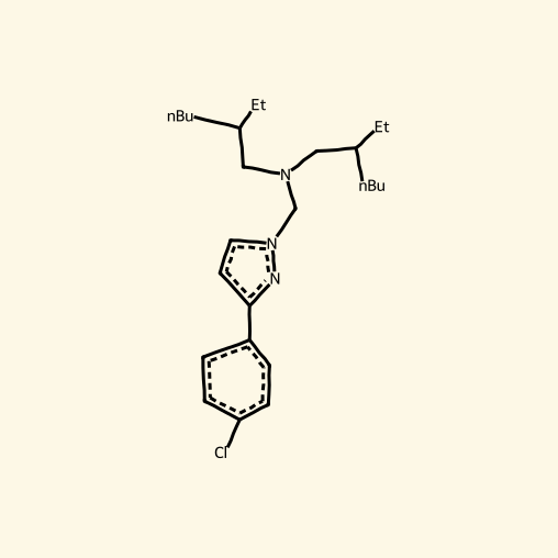 CCCCC(CC)CN(CC(CC)CCCC)Cn1ccc(-c2ccc(Cl)cc2)n1